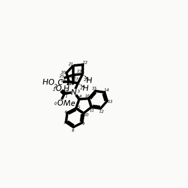 COC(=O)N(C1c2ccccc2-c2ccccc21)[C@H]1[C@H](C(=O)O)CC2C[C@@H]1C2(C)C